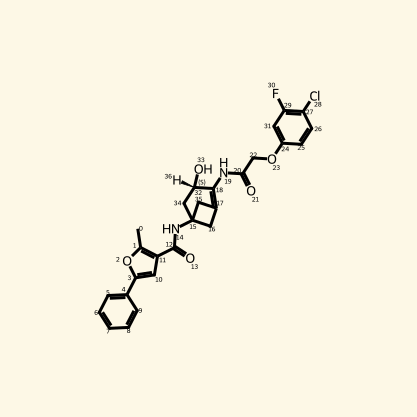 Cc1oc(-c2ccccc2)cc1C(=O)NC12CC(=C(NC(=O)COc3ccc(Cl)c(F)c3)[C@@H](O)C1)C2